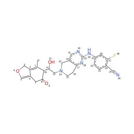 CC1=C2COC=C2CC(=O)C1C(O)CN1CCc2nc(Nc3ccc(C#N)c(F)c3)ncc2C1